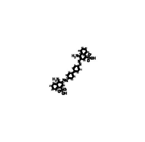 Nc1c(N=Nc2ccc(-c3ccc(N=Nc4cc(S(=O)(=O)O)c5ccccc5c4N)cc3)cc2)cc(S(=O)(=O)O)c2ccccc12